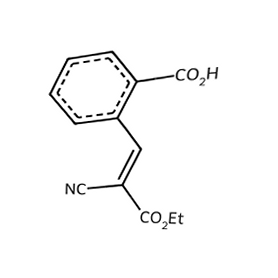 CCOC(=O)C(C#N)=Cc1ccccc1C(=O)O